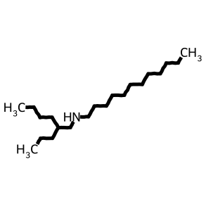 CCCCCCCCCCCCNCC(CCC)CCCC